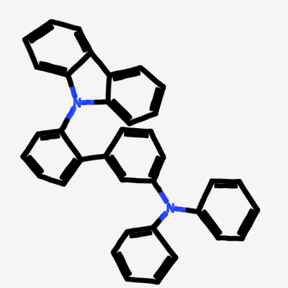 c1ccc(N(c2ccccc2)c2cccc(-c3ccccc3-n3c4ccccc4c4ccccc43)c2)cc1